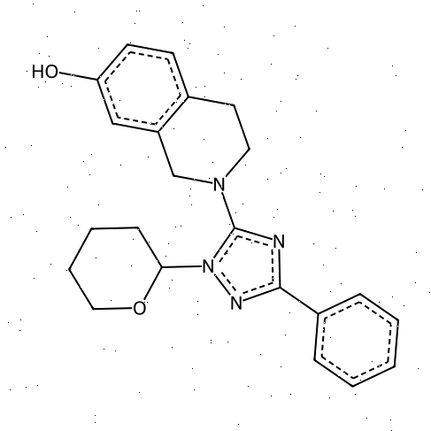 Oc1ccc2c(c1)CN(c1nc(-c3ccccc3)nn1C1CCCCO1)CC2